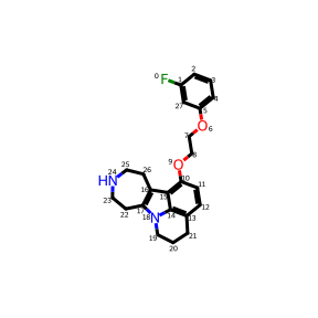 Fc1cccc(OCCOc2ccc3c4c2c2c(n4CCC3)CCNCC2)c1